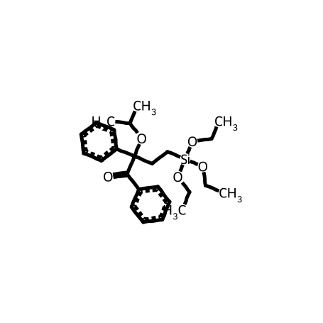 CCO[Si](CCC(OC(C)C)(C(=O)c1ccccc1)c1ccccc1)(OCC)OCC